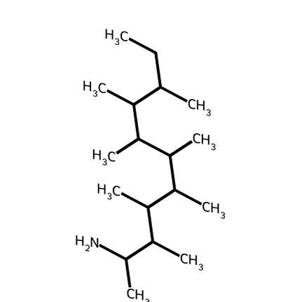 CCC(C)C(C)C(C)C(C)C(C)C(C)C(C)C(C)N